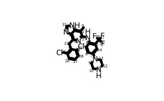 Cc1c(Nc2ccc(N3CCNCC3)cc2C(F)(F)F)nc(Cc2c(Cl)cccc2Cl)c2nc[nH]c12